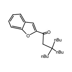 CCCCC(CCCC)(CCCC)CC(=O)c1cc2ccccc2o1